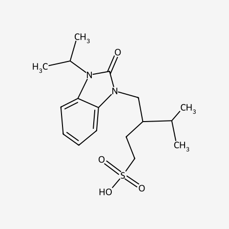 CC(C)C(CCS(=O)(=O)O)Cn1c(=O)n(C(C)C)c2ccccc21